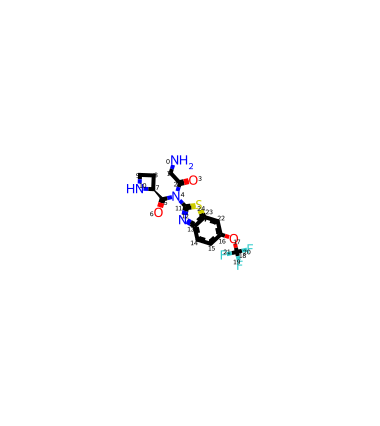 NCC(=O)N(C(=O)[C@@H]1CCN1)c1nc2ccc(OC(F)(F)F)cc2s1